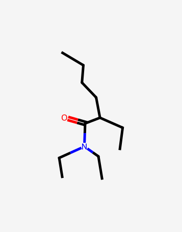 CCCCC(CC)C(=O)N(CC)CC